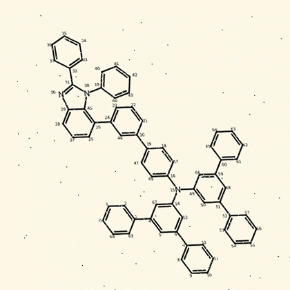 c1ccc(-c2cc(-c3ccccc3)cc(N(c3ccc(-c4cccc(-c5cccc6nc(-c7ccccc7)n(-c7ccccc7)c56)c4)cc3)c3cc(-c4ccccc4)cc(-c4ccccc4)c3)c2)cc1